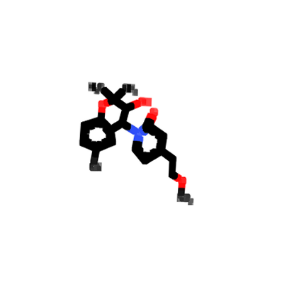 CC1(C)Oc2ccc(C#N)cc2C(n2ccc(CCO[N+](=O)[O-])cc2=O)C1O